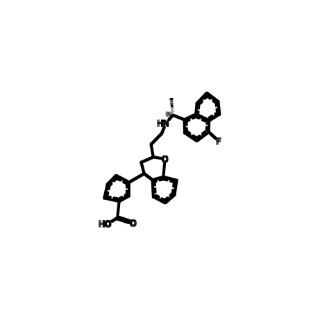 C[C@@H](NCCC1CC(c2cccc(C(=O)O)c2)c2ccccc2O1)c1ccc(F)c2ccccc12